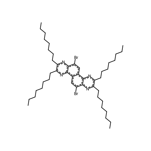 CCCCCCCCc1nc2c(Br)cc3c(cc(Br)c4nc(CCCCCCCC)c(CCCCCCCC)nc43)c2nc1CCCCCCCC